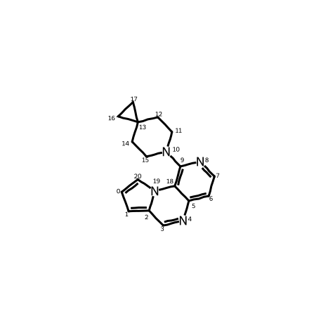 c1cc2cnc3ccnc(N4CCC5(CC4)CC5)c3n2c1